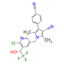 Cc1c(C#N)c(-c2ccc(C#N)cc2)c(C)n1Cc1cnc(Cl)c(C(O)C(F)(F)F)c1